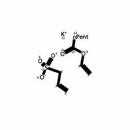 C=CCS(=O)(=O)[O-].C=COC(=O)CCCCC.[K+]